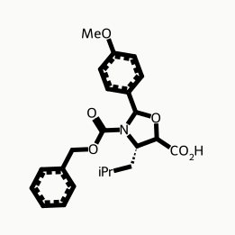 COc1ccc(C2OC(C(=O)O)[C@H](CC(C)C)N2C(=O)OCc2ccccc2)cc1